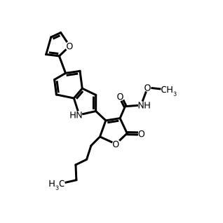 CCCCCC1OC(=O)C(C(=O)NOC)=C1c1cc2cc(-c3ccco3)ccc2[nH]1